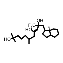 CC(CCCC(C)(C)O)CC(O)=CC(O)(CC1CCC2CCCC[C@]21C)C(F)(F)F